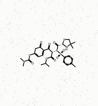 Cc1ccc(S(=O)(=O)N(C(=O)[C@H]2NC(C)(C)CS2)[C@H](C(=O)OC(C)C)C(=O)C2=CC=C(OC(=O)N(C)C)CC2=O)cc1